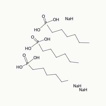 CCCCCCP(=O)(O)O.CCCCCCP(=O)(O)O.CCCCCCP(=O)(O)O.[NaH].[NaH].[NaH]